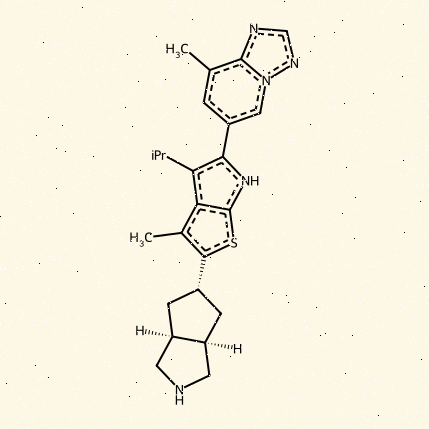 Cc1c([C@@H]2C[C@H]3CNC[C@H]3C2)sc2[nH]c(-c3cc(C)c4ncnn4c3)c(C(C)C)c12